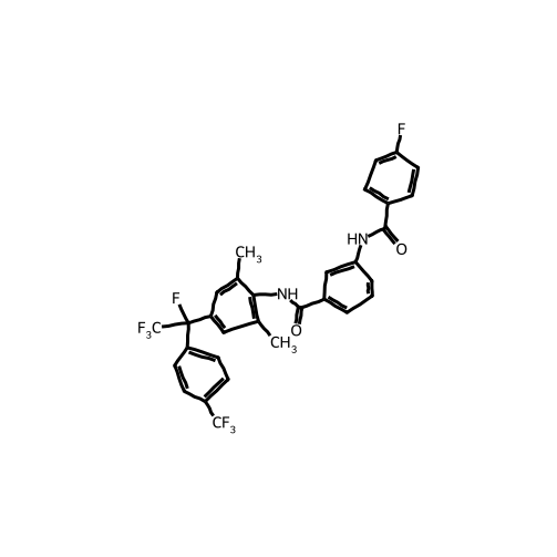 Cc1cc(C(F)(c2ccc(C(F)(F)F)cc2)C(F)(F)F)cc(C)c1NC(=O)c1cccc(NC(=O)c2ccc(F)cc2)c1